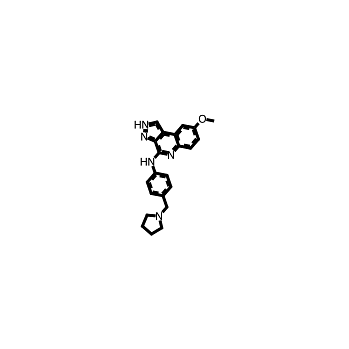 COc1ccc2nc(Nc3ccc(CN4CCCC4)cc3)c3n[nH]cc3c2c1